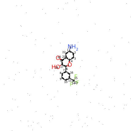 Nc1ccc2oc(-c3cccc(C(F)(F)F)c3)c(O)c(=O)c2c1